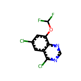 FC(F)Oc1cc(Cl)cc2c(Cl)ncnc12